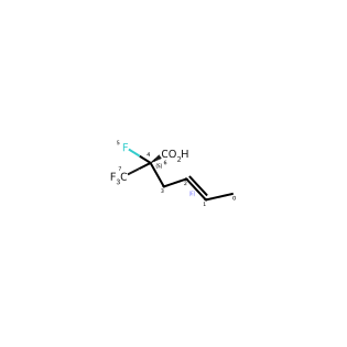 C/C=C/C[C@](F)(C(=O)O)C(F)(F)F